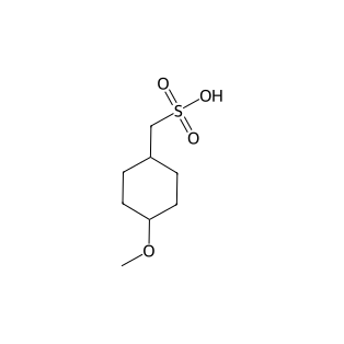 COC1CCC(CS(=O)(=O)O)CC1